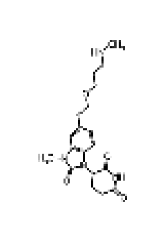 CNCCCOCCc1ccc2c(c1)n(C)c(=O)n2C1CCC(=O)NC1=O